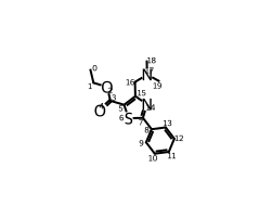 CCOC(=O)c1sc(-c2ccccc2)nc1CN(C)C